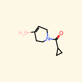 BC1=CCN(C(=O)C2CC2)CC1